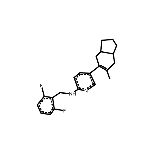 CC1=C(c2ccc(NCc3c(F)cccc3F)nc2)CC2CCCC2C1